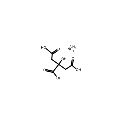 N.O=C(O)CC(O)(CC(=O)O)C(=O)O.[AlH3]